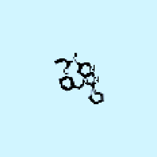 C=CC(=O)N(C)c1cnc2nc(N3CCCC3)n(Cc3ccccc3)c2c1